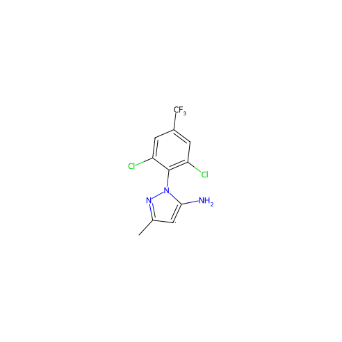 Cc1[c]c(N)n(-c2c(Cl)cc(C(F)(F)F)cc2Cl)n1